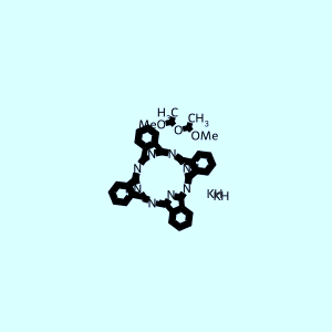 COC(C)OC(C)OC.[KH].[KH].c1ccc2c(c1)-c1nc-2nc2[nH]c(nc3nc(nc4[nH]c(n1)c1ccccc41)-c1ccccc1-3)c1ccccc21